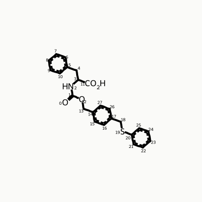 O=C(NC(Cc1ccccc1)C(=O)O)OCc1ccc(CSc2ccccc2)cc1